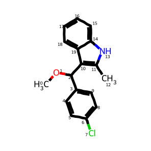 COC(c1ccc(Cl)cc1)c1c(C)[nH]c2ccccc12